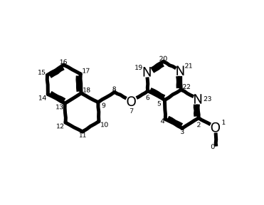 COc1ccc2c(OCC3CCCc4ccccc43)ncnc2n1